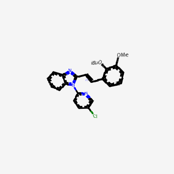 COc1cccc(/C=C/c2nc3ccccc3n2-c2ccc(Cl)cn2)c1OCC(C)C